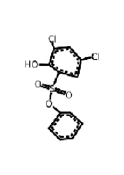 O=S(=O)(Oc1ccccc1)c1cc(Cl)cc(Cl)c1O